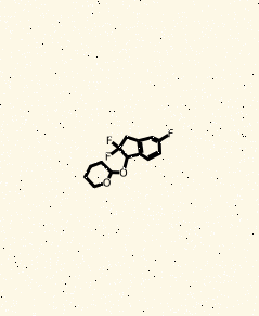 Fc1ccc2c(c1)CC(F)(F)C2OC1CCCCO1